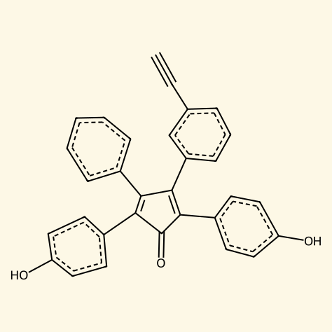 C#Cc1cccc(C2=C(c3ccc(O)cc3)C(=O)C(c3ccc(O)cc3)=C2c2ccccc2)c1